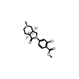 COC(=O)c1ccc(N2C[C@@H]3CN(C)CC[C@]3(F)C2=O)cc1Cl